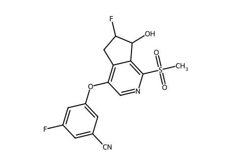 CS(=O)(=O)c1ncc(Oc2cc(F)cc(C#N)c2)c2c1C(O)C(F)C2